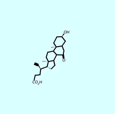 C#C[C@H](CCC(=O)O)[C@H]1CCC2C3C(=O)CC4C[C@H](O)CC[C@]4(C)C3CC[C@@]21C